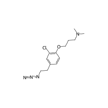 CN(C)CCCOc1ccc(CCN=[N+]=[N-])cc1Cl